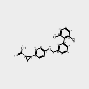 O=C(O)[C@H]1C[C@@H]1c1ccc(OCc2cccc(-c3c(Cl)cccc3Cl)c2)cn1